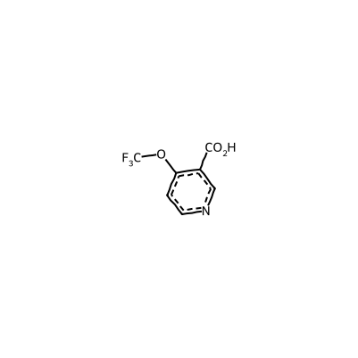 O=C(O)c1cnccc1OC(F)(F)F